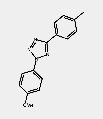 COc1ccc(-n2nnc(-c3ccc(C)cc3)n2)cc1